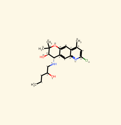 CCCC(O)CN[C@H]1c2cc3nc(Cl)cc(C)c3cc2OC(C)(C)[C@@H]1O